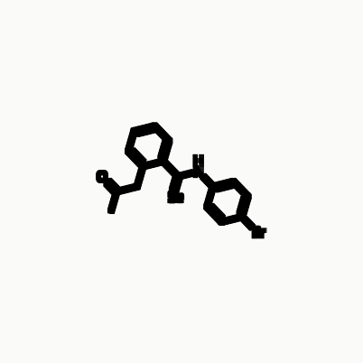 CC(=O)Cc1ccccc1C(=[Se])Nc1ccc(Br)cc1